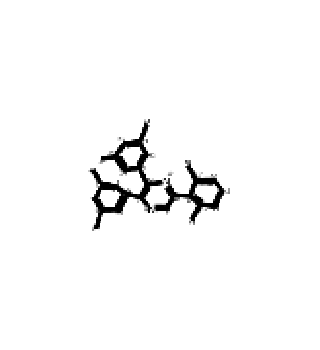 Cc1cc(C)cc(-c2ncc(-c3c(C)cccc3C)nc2-c2cc(C)cc(C)c2)c1